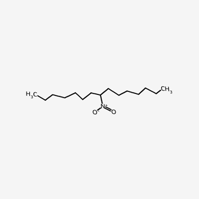 CCCCCCCC(CCCCCCC)[N+](=O)[O-]